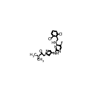 CN(C)C(=O)Cn1cc(Nc2ncc(F)c(NCc3c(Cl)cccc3Cl)n2)cn1